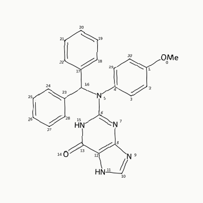 COc1ccc(N(c2nc3nc[nH]c3c(=O)[nH]2)C(c2ccccc2)c2ccccc2)cc1